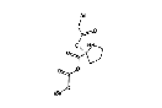 CC(=O)CC(=O)O[C@@]1(C(=O)OC(=O)OC(C)(C)C)CCCN1